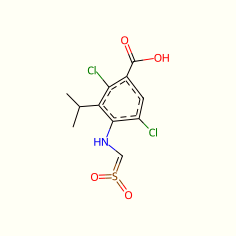 CC(C)c1c(Cl)c(C(=O)O)cc(Cl)c1NC=S(=O)=O